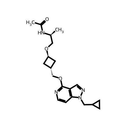 CC(=O)N[C@@H](C)CO[C@H]1C[C@H](COc2nccc3c2cnn3CC2CC2)C1